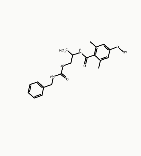 Cc1cc(OC(C)C)cc(C)c1C(=O)NC(CNC(=O)NCc1ccccc1)C(=O)O